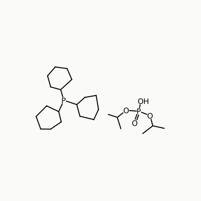 C1CCC(P(C2CCCCC2)C2CCCCC2)CC1.CC(C)OP(=O)(O)OC(C)C